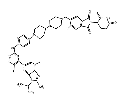 Cc1nc2c(F)cc(-c3nc(Nc4ccc(N5CCC(N6CCN(Cc7cc8c(cc7F)C(=O)N(C7CCC(=O)NC7=O)C8=O)CC6)CC5)cn4)ncc3F)cc2n1C(C)C